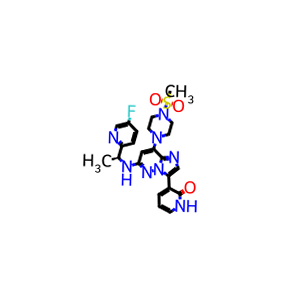 C[C@H](Nc1cc(N2CCN(S(C)(=O)=O)CC2)c2ncc(-c3ccc[nH]c3=O)n2n1)c1ccc(F)cn1